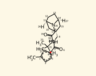 Cc1ccc(C(=O)NC[C@@H]2C[C@H]3CC[C@@H](C2)N3CC(=O)NC(C)(C)C)s1